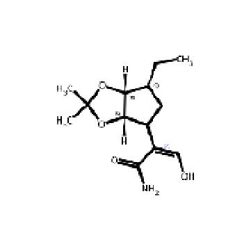 CC[C@H]1CC(/C(=C/O)C(N)=O)[C@@H]2OC(C)(C)O[C@H]12